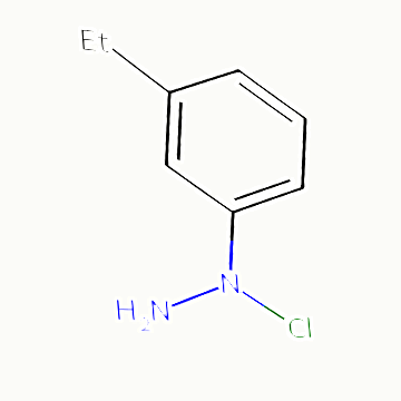 CCc1cccc(N(N)Cl)c1